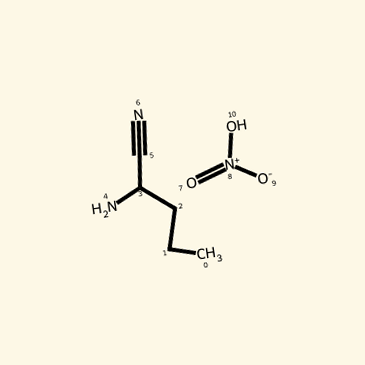 CCCC(N)C#N.O=[N+]([O-])O